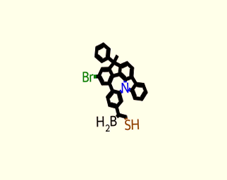 BC(CS)c1ccc2c(c1)-n1c3ccccc3c3ccc4c(c31)-c1c-2cc(Br)cc1C4(C)c1ccccc1